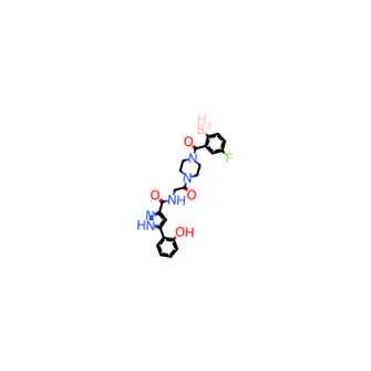 Bc1ccc(F)cc1C(=O)N1CCN(C(=O)CNC(=O)c2cc(-c3ccccc3O)[nH]n2)CC1